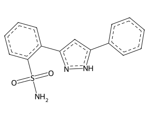 NS(=O)(=O)c1ccccc1-c1cc(-c2ccccc2)[nH]n1